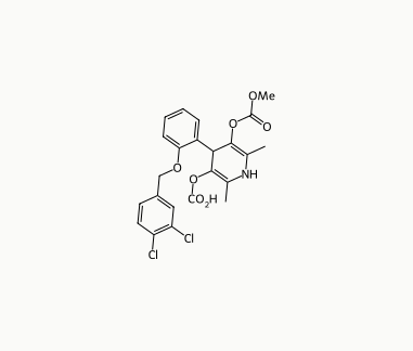 COC(=O)OC1=C(C)NC(C)=C(OC(=O)O)C1c1ccccc1OCc1ccc(Cl)c(Cl)c1